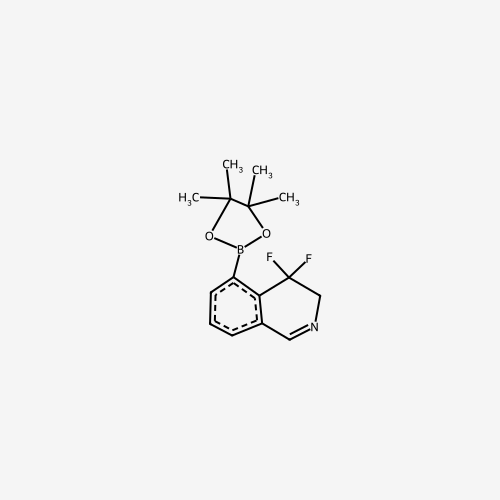 CC1(C)OB(c2cccc3c2C(F)(F)CN=C3)OC1(C)C